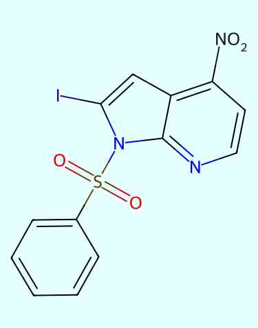 O=[N+]([O-])c1ccnc2c1cc(I)n2S(=O)(=O)c1ccccc1